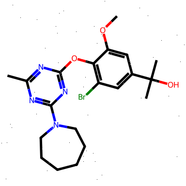 COc1cc(C(C)(C)O)cc(Br)c1Oc1nc(C)nc(N2CCCCCC2)n1